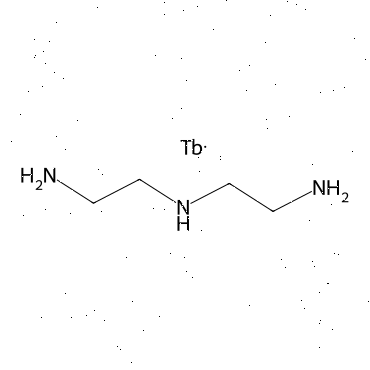 NCCNCCN.[Tb]